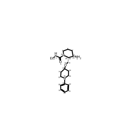 CCNC(=O)N1CCC[C@H](N)[C@@H]1COC1CCN(c2ccccc2)CC1